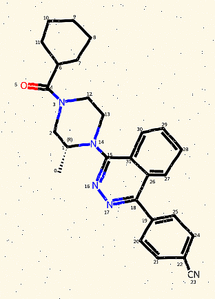 C[C@@H]1CN(C(=O)C2CCCCC2)CCN1c1nnc(-c2ccc(C#N)cc2)c2ccccc12